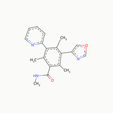 CNC(=O)c1c(C)c(-c2ccccn2)c(C)c(-c2cocn2)c1C